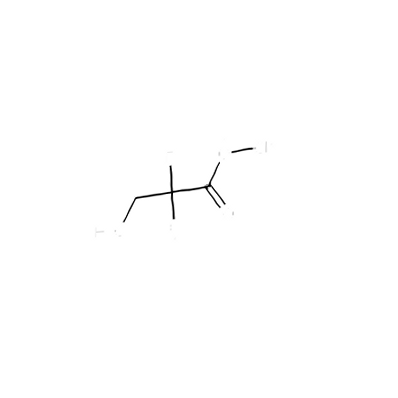 CCC(F)(Cl)C(=O)OCl